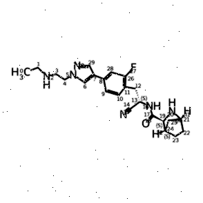 CCNCCn1cc(-c2ccc(C[C@@H](C#N)NC(=O)[C@H]3N[C@@H]4CC[C@H]3C4)c(F)c2)cn1